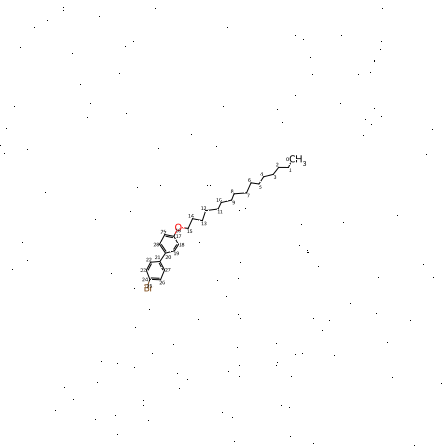 CCCCCCCCCCCCCCCCOc1ccc(-c2ccc(Br)cc2)cc1